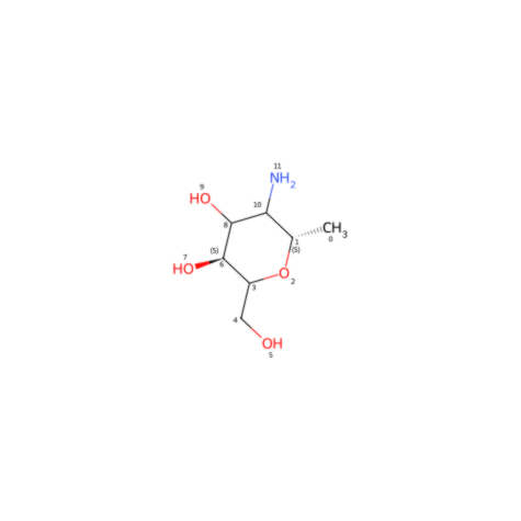 C[C@@H]1OC(CO)[C@@H](O)C(O)C1N